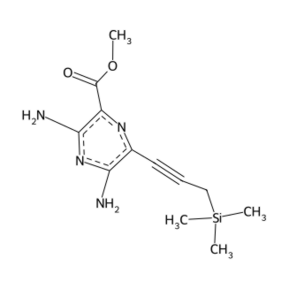 COC(=O)c1nc(C#CC[Si](C)(C)C)c(N)nc1N